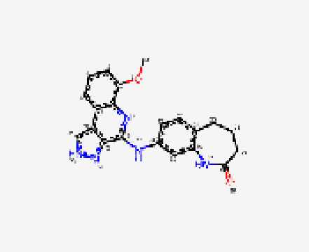 COc1cccc2c1nc(Nc1ccc3c(c1)NC(=O)CCC3)c1n[nH]cc12